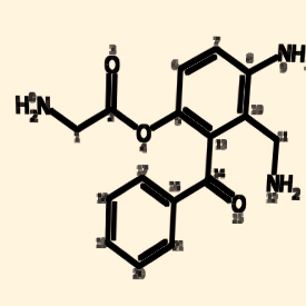 NCC(=O)Oc1ccc(N)c(CN)c1C(=O)c1ccccc1